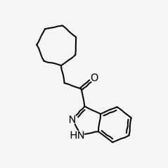 O=C(CC1CCCCCC1)c1n[nH]c2ccccc12